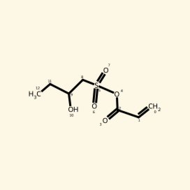 C=CC(=O)OS(=O)(=O)CC(O)CC